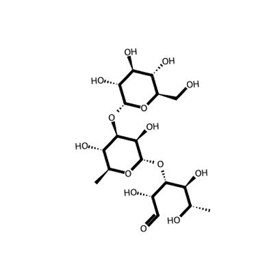 C[C@H](O)[C@H](O)[C@@H](O[C@@H]1O[C@@H](C)[C@H](O)[C@@H](O[C@H]2O[C@H](CO)[C@@H](O)[C@H](O)[C@H]2O)[C@H]1O)[C@@H](O)C=O